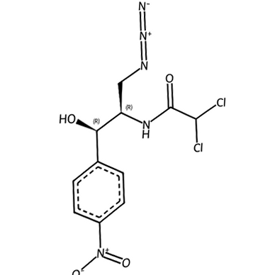 [N-]=[N+]=NC[C@@H](NC(=O)C(Cl)Cl)[C@H](O)c1ccc([N+](=O)[O-])cc1